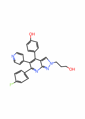 OCCCn1cc2c(-c3ccc(O)cc3)c(-c3ccncc3)c(-c3ccc(F)cc3)nc2n1